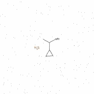 CCCC(C)C1CC1.S